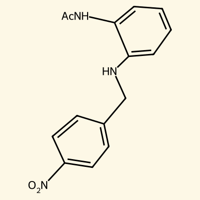 CC(=O)Nc1ccccc1NCc1ccc([N+](=O)[O-])cc1